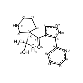 CC(C)(O)[C@@]1(C(=O)c2conc2-c2ccccn2)CCCNC1